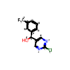 OC(c1cnc(Cl)nc1)c1cccc(C(F)(F)F)c1